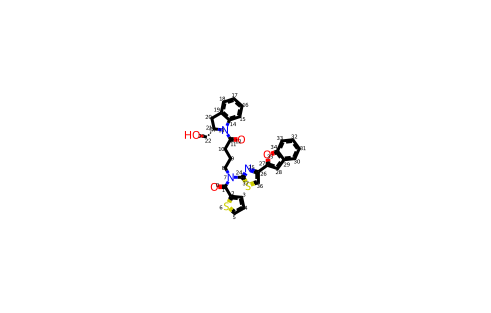 O=C(c1cccs1)N(CCCC(=O)N1c2ccccc2C[C@H]1CO)c1nc(-c2cc3ccccc3o2)cs1